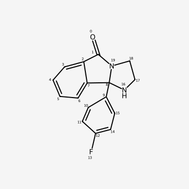 O=C1c2ccccc2C2(c3ccc(F)cc3)NCCN12